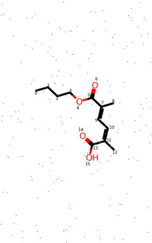 CCCCOC(=O)C(C)=CC=C(C)C(=O)O